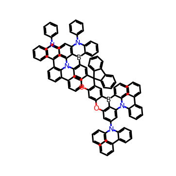 c1ccc(-c2ccccc2N(c2ccccc2)c2cc3c4c(c2)N(c2ccccc2-c2ccccc2)c2ccccc2B4c2cc4c(cc2O3)Oc2cc3c(cc2C42c4ccccc4-c4ccccc42)B2c4ccccc4N(c4ccccc4)c4cc(N(c5ccccc5)c5ccccc5)cc(c42)N3c2c(-c3ccccc3)cccc2-c2ccccc2)cc1